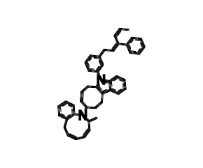 C/C=C\C(=C/Cc1cccc(-n2c3c(c4ccccc42)CCC(N2c4ccccc4C/C=C\C=C/C2C)/C=C\C3)c1)c1ccccc1